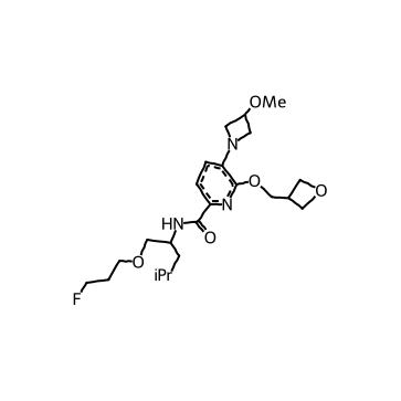 COC1CN(c2ccc(C(=O)NC(COCCCF)CC(C)C)nc2OCC2COC2)C1